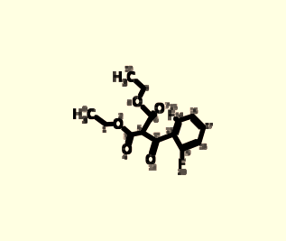 CCOC(=O)C(C(=O)OCC)C(=O)c1c(F)cccc1F